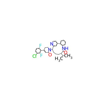 CC(C)C1CCCC(N2CCC(c3c(F)ccc(Cl)c3F)=CC2=O)c2cc(ccn2)-c2ccccc2NC1=O